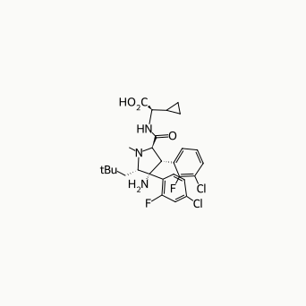 CN1[C@@H](CC(C)(C)C)[C@](N)(c2ccc(Cl)cc2F)[C@@H](c2cccc(Cl)c2F)[C@@H]1C(=O)N[C@@H](C(=O)O)C1CC1